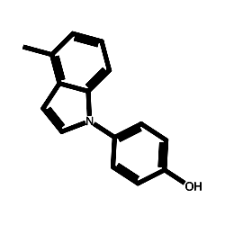 Cc1cccc2c1ccn2-c1ccc(O)cc1